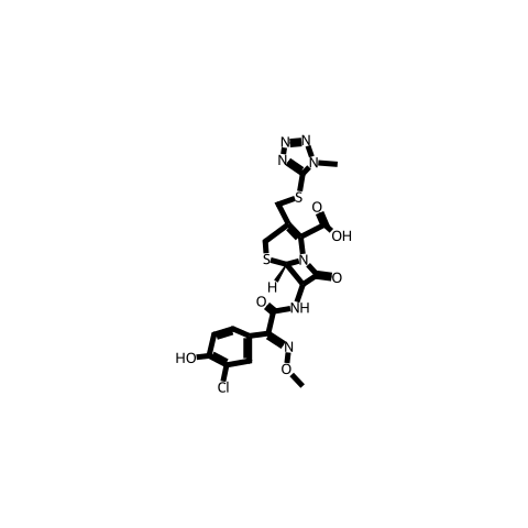 CON=C(C(=O)NC1C(=O)N2C(C(=O)O)=C(CSc3nnnn3C)CS[C@@H]12)c1ccc(O)c(Cl)c1